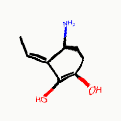 C/C=C1/C(O)=C(O)CC1N